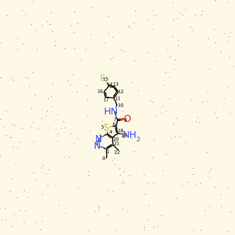 Cc1nnc2sc(C(=O)NCC3=C=C=C(F)C=C3)c(N)c2c1C